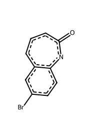 O=c1cccc2cc(Br)ccc2n1